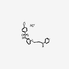 Cl.O=S(=O)(Nc1cccc(OCCNc2ccncc2)c1)c1ccc(Cl)cc1